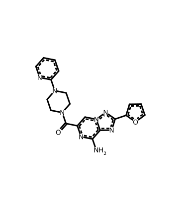 Nc1nc(C(=O)N2CCN(c3ccccn3)CC2)cn2nc(-c3ccco3)nc12